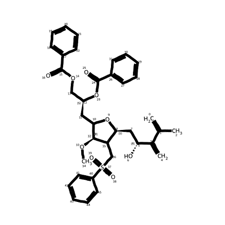 C=C(C)C(=C)[C@H](O)C[C@@H]1OC(C[C@@H](COC(=O)c2ccccc2)OC(=O)c2ccccc2)[C@H](OC)C1CS(=O)(=O)c1ccccc1